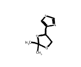 CC1(C)OCC(c2cs[c]n2)O1